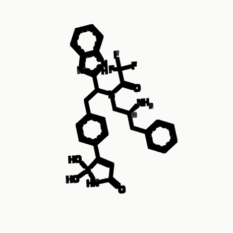 N[C@@H](Cc1ccccc1)CN(C(=O)C(F)(F)F)C(Cc1ccc(C2=CC(=O)NS2(O)O)cc1)c1nc2ccccc2[nH]1